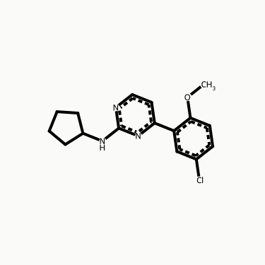 COc1ccc(Cl)cc1-c1ccnc(NC2CCCC2)n1